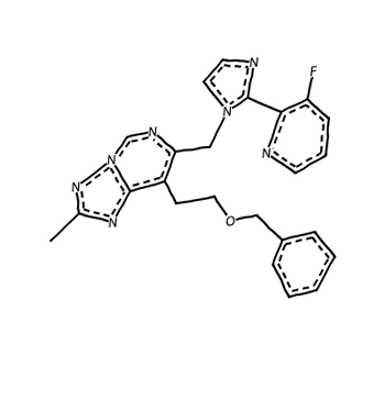 Cc1nc2c(CCOCc3ccccc3)c(Cn3ccnc3-c3ncccc3F)ncn2n1